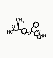 CC#CC(CC(=O)O)c1ccc(OC(Cc2ccccc2)c2cnc3[nH]ccc3c2)cc1